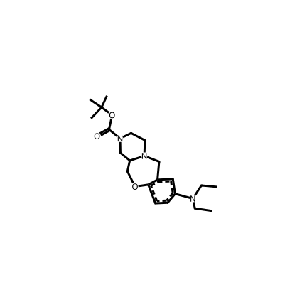 CCN(CC)c1ccc2c(c1)CN1CCN(C(=O)OC(C)(C)C)CC1CO2